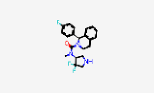 CN(C(=O)N1CCc2ccccc2[C@@H]1c1ccc(F)cc1)[C@H]1CNCC1(F)F